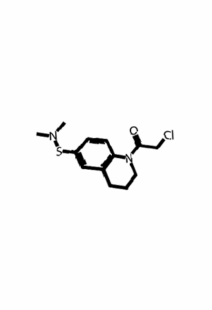 CN(C)Sc1ccc2c(c1)CCCN2C(=O)CCl